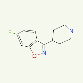 Fc1ccc2c(C3CC[N]CC3)noc2c1